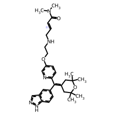 CN(C)C(=O)/C=C/CNCCOc1ccc(C(=C2CC(C)(C)OC(C)(C)C2)c2ccc3[nH]ncc3c2)nc1